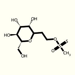 CS(=O)(=S)OCCC1O[C@H](CO)[C@@H](O)[C@H](O)[C@@H]1O